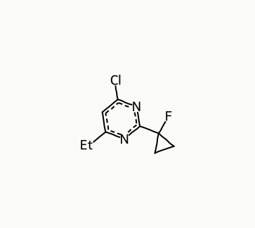 CCc1cc(Cl)nc(C2(F)CC2)n1